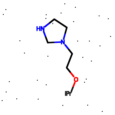 CC(C)OCCN1CCNC1